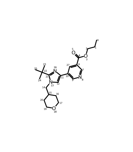 CCCOC(=O)c1cncc(-c2cn(CC3CCOCC3)c(C(C)(C)C)n2)c1